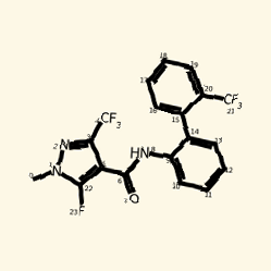 Cn1nc(C(F)(F)F)c(C(=O)Nc2ccccc2-c2ccccc2C(F)(F)F)c1F